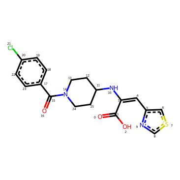 O=C(O)C(=Cc1cscn1)NC1CCN(C(=O)c2ccc(Cl)cc2)CC1